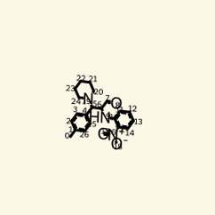 Cc1ccc(C(C(C=O)Nc2ccccc2[N+](=O)[O-])N2CCCCC2)cc1